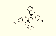 Cc1cccc(C2=NC(C)(C)CN2C(c2cc3cc(Cl)ccc3c(=O)n2Cc2ccccc2)C(C)C)c1